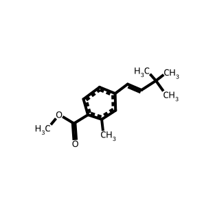 COC(=O)c1ccc(C=CC(C)(C)C)cc1C